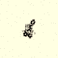 C[C@H](NC(=O)c1sc(C(O)CN2CCN(C)CC2)nc1C(F)(F)F)c1cccc(-c2cccnc2)c1